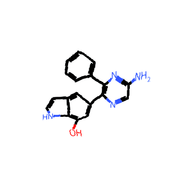 Nc1cnc(-c2cc(O)c3[nH]ccc3c2)c(-c2ccccc2)n1